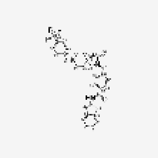 O=C(NC1Cc2ccccc2C1)c1ccc(CN2CC3(CCN(Cc4ccc(C(F)(F)F)cc4)CC3)OC2=O)cc1